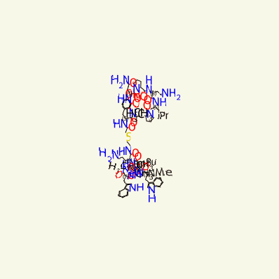 CCCC[C@@H](C(=O)N(C)[C@@H](CCCC)C(=O)N[C@@H](CCCN)C(=O)NCCSCC(=O)N[C@@H](Cc1ccc(O)cc1)C(=O)N(C)CC(=O)N[C@@H](CC(N)=O)C(=O)N1CCCC1C(=O)N[C@@H](CCN)C(=O)N[C@@H](CC(C)C)C(=O)N1CCCC1C)N(C)C(=O)[C@H](Cc1c[nH]c2ccccc12)NC(=O)[C@H](C)NC(=O)[C@H](Cc1c[nH]c2ccccc12)NC